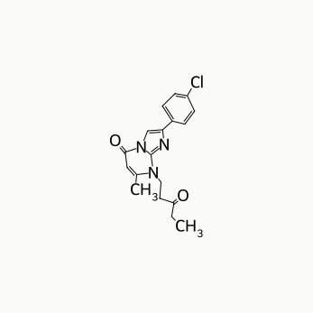 CCC(=O)CCn1c(C)cc(=O)n2cc(-c3ccc(Cl)cc3)nc12